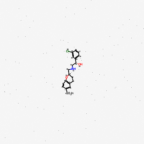 O=S(=O)(O)c1ccc2c(c1)CCC(CNC[C@@H](O)c1cccc(Cl)c1)O2